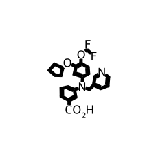 O=C(O)c1cccc(N(Cc2cccnc2)c2ccc(OC(F)F)c(OC3CCCC3)c2)c1